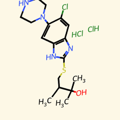 CC(CSc1nc2cc(Cl)c(N3CCNCC3)cc2[nH]1)C(C)(C)O.Cl.Cl